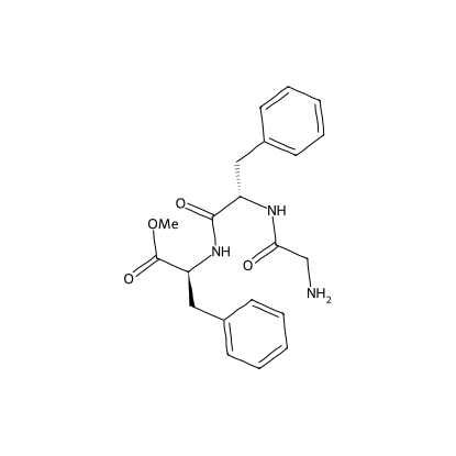 COC(=O)[C@H](Cc1ccccc1)NC(=O)[C@H](Cc1ccccc1)NC(=O)CN